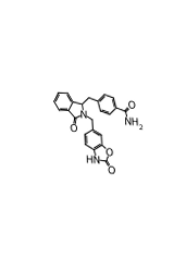 NC(=O)c1ccc(CC2c3ccccc3C(=O)N2Cc2ccc3[nH]c(=O)oc3c2)cc1